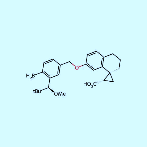 Bc1ccc(COc2ccc3c(c2)[C@@]2(CCC3)C[C@@H]2C(=O)O)cc1[C@@H](OC)C(C)(C)C